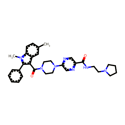 Cc1ccc2c(c1)c(C(=O)N1CCN(c3cnc(C(=O)NCCN4CCCC4)cn3)CC1)c(-c1ccccc1)n2C